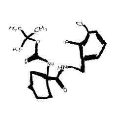 CC(C)(C)OC(=O)NC1(C(=O)NCc2cccc(Cl)c2F)CCCC1